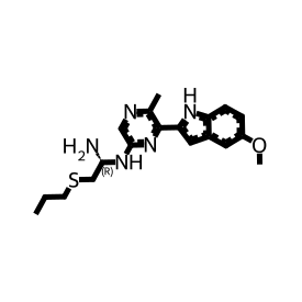 CCCSC[C@H](N)Nc1cnc(C)c(-c2cc3cc(OC)ccc3[nH]2)n1